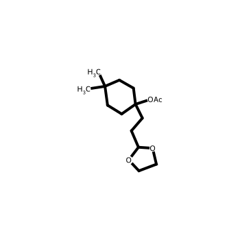 CC(=O)OC1(CCC2OCCO2)CCC(C)(C)CC1